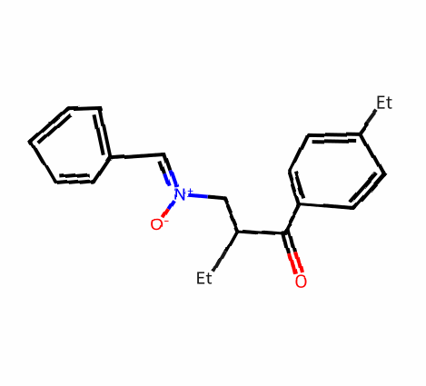 CCc1ccc(C(=O)C(CC)C[N+]([O-])=Cc2ccccc2)cc1